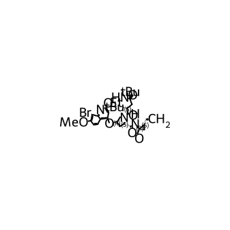 C=C[C@@H]1C[C@@]12NC([C@@H]1C[C@@H](Oc3cc(OCC)nc4c(Br)c(OC)ccc34)CN1C(=O)[C@@H](CC(=O)NC(C)(C)C)C(C)(C)C)OC2=O